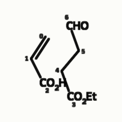 C=CC(=O)O.CCOC(=O)CCC=O